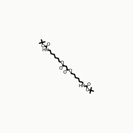 CC(C)(C)OC(=O)NCCCCCCOC(=O)CC(=O)OCCCCCCNC(=O)OC(C)(C)C